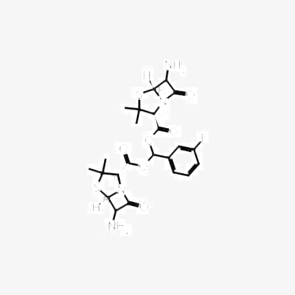 CC1(C)S[C@@H]2C(N)C(=O)N2[C@H]1C(=O)OC(OC(=O)[C@@H]1N2C(=O)C(N)[C@H]2SC1(C)C)c1cccc(F)c1